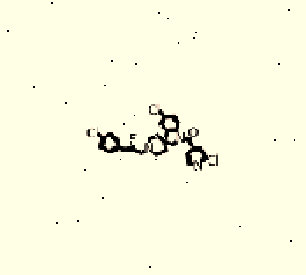 O=C(c1ccnc(Cl)c1)N1CC2(CCN(C/C(F)=C/c3ccc(Cl)cc3)CC2)c2cc(Cl)ccc21